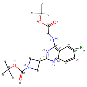 CC(C)(C)OC(=O)CNc1nc(C2CN(C(=O)OC(C)(C)C)C2)nc2ccc(Br)cc12